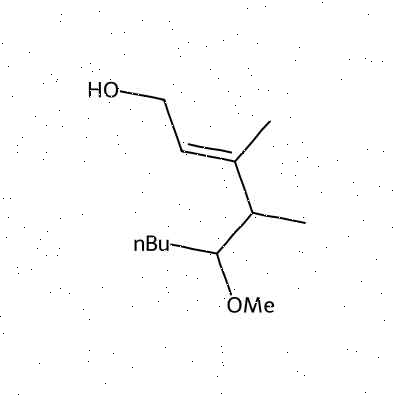 CCCCC(OC)C(C)C(C)=CCO